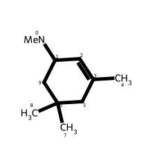 CNC1C=C(C)CC(C)(C)C1